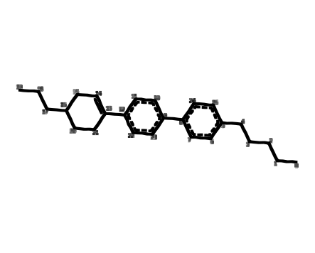 CCCCCc1ccc(-c2ccc(C3=CCC(CCC)CC3)cc2)cc1